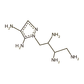 NCC(N)C(N)Cn1ncc(N)c1N